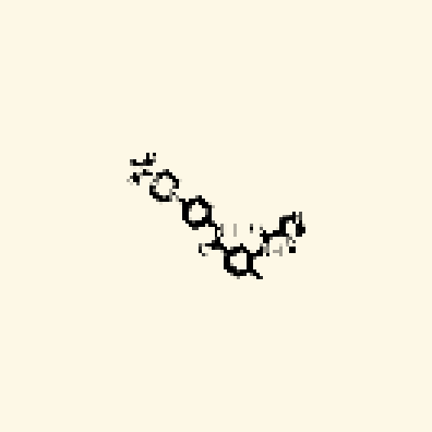 Cc1ccc(C(=O)Nc2ccc(N3CCN(S(C)(=O)=O)CC3)cc2)cc1NC(=O)c1cncn1C